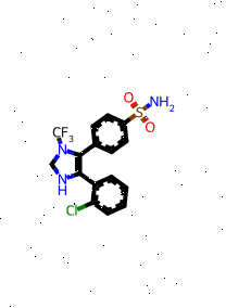 NS(=O)(=O)c1ccc(C2=C(c3ccccc3Cl)NCN2C(F)(F)F)cc1